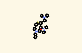 c1ccc(N(c2ccccc2)c2cccc(-c3cc(-c4cccc(N(c5ccccc5)c5ccccc5)c4)c4c(c3)sc3ccc(-c5cccc(N(c6ccccc6)c6ccc7ccccc7c6)c5)cc34)c2)cc1